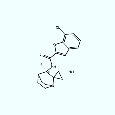 Cl.O=C(N[C@@H]1C2CCN(CC2)C12CC2)c1cc2cccc(Cl)c2o1